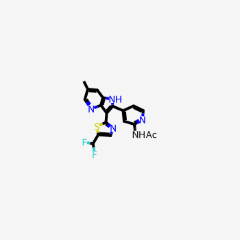 CC(=O)Nc1cc(-c2[nH]c3cc(C)cnc3c2-c2ncc(C(F)F)s2)ccn1